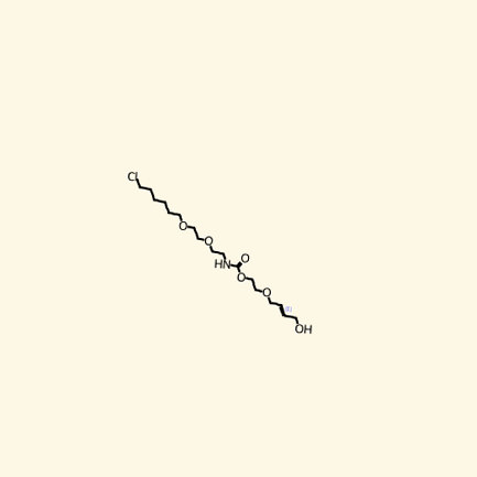 O=C(NCCOCCOCCCCCCCl)OCCOC/C=C/CO